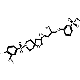 CNS(=O)(=O)c1cccc(OCC(O)CNC2COC3(CCN(S(=O)(=O)c4ccc(C)c(C)c4)CC3)C2)c1